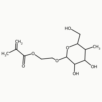 C=C(C)C(=O)OCCOC1OC(CO)C(C)C(O)C1O